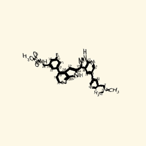 CN(C)Cc1cncc(-c2cnc3[nH]nc(-c4cc5c(-c6cc(F)cc(CNS(C)(=O)=O)c6)ccnc5[nH]4)c3c2)c1